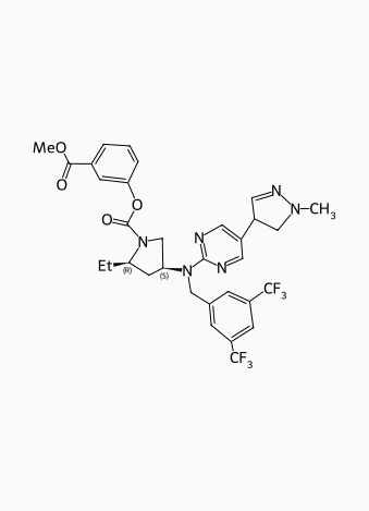 CC[C@@H]1C[C@H](N(Cc2cc(C(F)(F)F)cc(C(F)(F)F)c2)c2ncc(C3C=NN(C)C3)cn2)CN1C(=O)Oc1cccc(C(=O)OC)c1